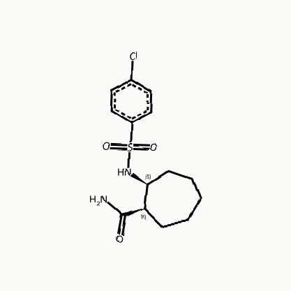 NC(=O)[C@@H]1CCCCC[C@@H]1NS(=O)(=O)c1ccc(Cl)cc1